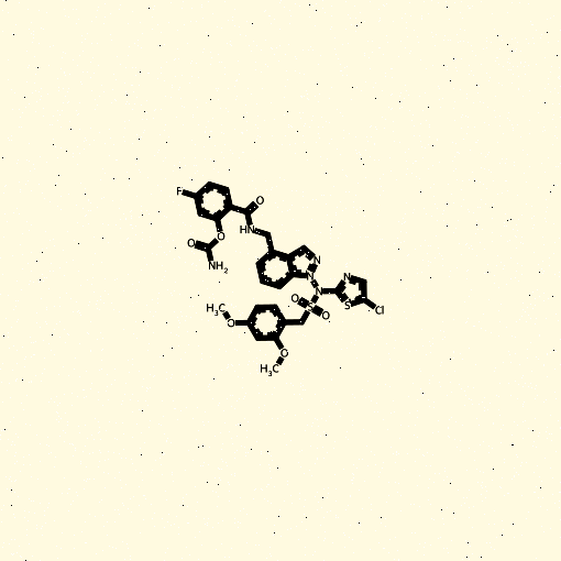 COc1ccc(CS(=O)(=O)N(c2ncc(Cl)s2)n2ncc3c(CNC(=O)c4ccc(F)cc4OC(N)=O)cccc32)c(OC)c1